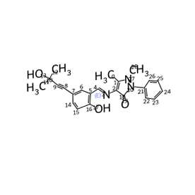 Cc1c(/N=C/c2cc(C#CC(C)(C)O)ccc2O)c(=O)n(-c2ccccc2)n1C